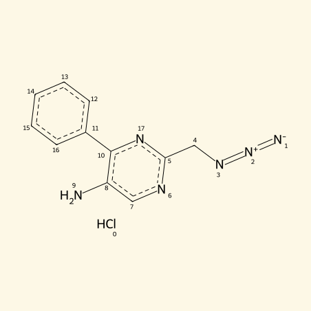 Cl.[N-]=[N+]=NCc1ncc(N)c(-c2ccccc2)n1